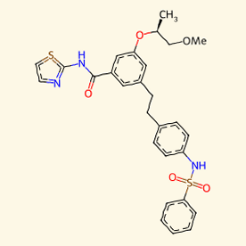 COC[C@H](C)Oc1cc(CCc2ccc(NS(=O)(=O)c3ccccc3)cc2)cc(C(=O)Nc2nccs2)c1